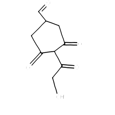 CCC(=O)C1C(=O)CC(C=O)CC1=O